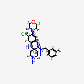 Clc1cccc(CNC2=Nc3cc(N4CCOCC4)c(Cl)cc3NC23CCNCC3)c1